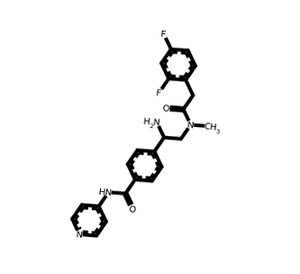 CN(CC(N)c1ccc(C(=O)Nc2ccncc2)cc1)C(=O)Cc1ccc(F)cc1F